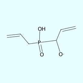 C=CCP(=O)(O)C([O])C=C